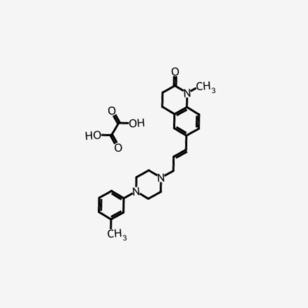 Cc1cccc(N2CCN(CC=Cc3ccc4c(c3)CCC(=O)N4C)CC2)c1.O=C(O)C(=O)O